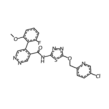 COc1cccc(F)c1-c1cnncc1C(=O)Nc1nnc(OCc2ccc(Cl)cn2)s1